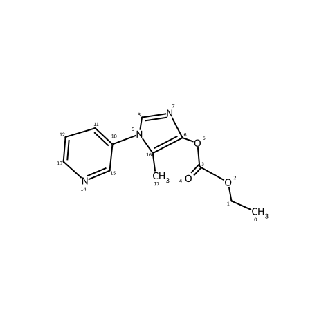 CCOC(=O)Oc1ncn(-c2cccnc2)c1C